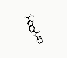 CC(=O)c1cc2cnc(C(=O)NC3CC4CCN3C4)cc2s1